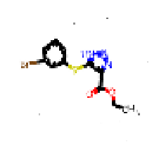 CCOC(=O)c1nn[nH]c1Sc1cccc(Br)c1